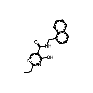 CCc1ncc(C(=O)NCc2cccc3ccccc23)c(O)n1